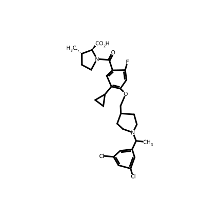 CC(c1cc(Cl)cc(Cl)c1)N1CCC(COc2cc(F)c(C(=O)N3CC[C@H](C)[C@H]3C(=O)O)cc2C2CC2)CC1